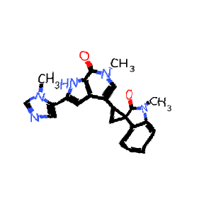 CN1C(=O)C2(CC2c2cn(C)c(=O)c3[nH]c(-c4cncn4C)cc23)c2ccccc21